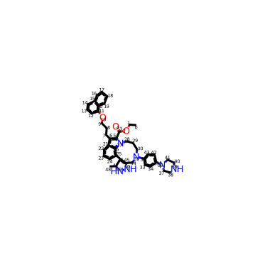 CCOC(=O)c1c(CCCOc2cccc3ccccc23)c2cccc3c2n1CCCN(c1ccc(N2CCNCC2)cc1)CC1=C3C(C)NN1